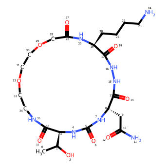 CC(O)[C@@H]1NC(=O)N[C@@H](CC(N)=O)C(=O)NNC(=O)[C@H](CCCCN)NC(=O)COCCOCCNC1=O